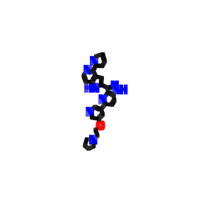 c1ccc(-c2nccc3[nH]c(-c4n[nH]c5ccc(-c6cncc(OCCN7CCCC7)c6)nc45)cc23)nc1